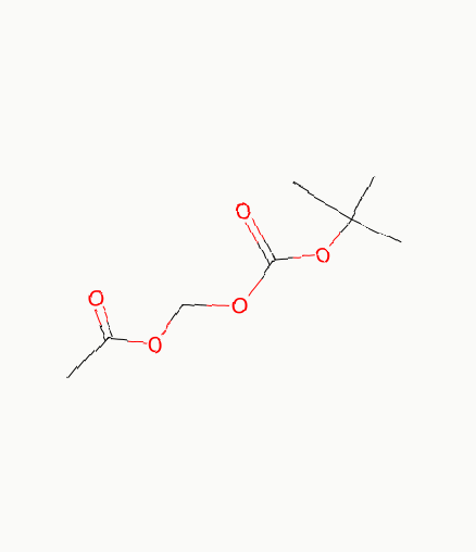 CC(=O)OCOC(=O)OC(C)(C)C